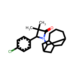 CC1(C)C(=O)N(C2C3CCCC4CC2CC4C3)C1c1ccc(Cl)cc1